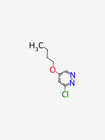 CCCCOc1cnnc(Cl)c1